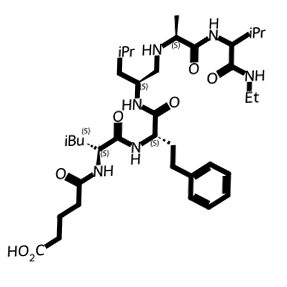 CCNC(=O)C(NC(=O)[C@H](C)NC[C@H](CC(C)C)NC(=O)[C@H](CCc1ccccc1)NC(=O)[C@@H](NC(=O)CCCC(=O)O)[C@@H](C)CC)C(C)C